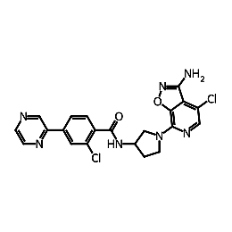 Nc1noc2c(N3CCC(NC(=O)c4ccc(-c5cnccn5)cc4Cl)C3)ncc(Cl)c12